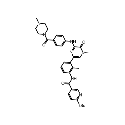 Cc1c(NC(=O)c2ccc(C(C)(C)C)nc2)cccc1-c1cn(C)c(=O)c(Nc2ccc(C(=O)N3CCN(C)CC3)cc2)n1